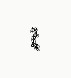 CCOC(=O)C(F)Oc1cccc2cc(-c3nc4cc5c(nc4n3C)CCN(CC(CF)NC(=O)OC(C)(C)C)C5=O)n(CC3CC3)c12